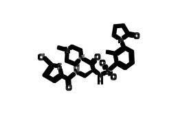 Cc1c(N2CCCC2=O)cccc1S(=O)(=O)N[C@@H](CNC(=O)c1ccc(Cl)s1)C(=O)N1CCN(C)CC1